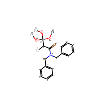 [CH2]CC(C(=S)N(Cc1ccccc1)Cc1ccccc1)[Si](OCC)(OCC)OCC